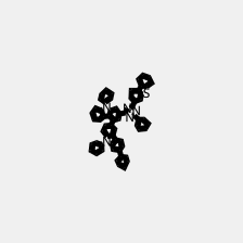 c1ccc(-c2ccc3c4cc(-c5cc(-c6nc(-c7ccccc7)nc(-c7ccc8c(c7)sc7ccccc78)n6)cc6c5c5ccccc5n6-c5ccccc5)ccc4n(-c4ccccc4)c3c2)cc1